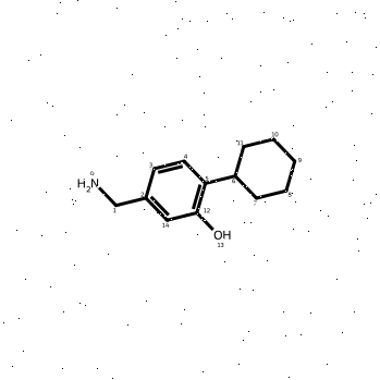 NCc1[c]cc(C2CCCCC2)c(O)c1